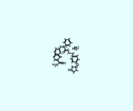 Cl.Cl.N=C(N)c1ccc2ccc(CN(C(=O)OCCc3ccc(OC4CCNC4)cc3)c3ccccc3)cc2c1